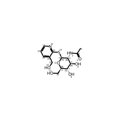 CC(=O)N[C@@H]1[C@@H](O)[C@H](O)[C@@H](CO)O[C@H]1Sc1ncccc1CO